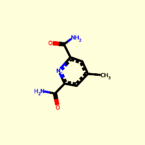 Cc1cc(C(N)=O)nc(C(N)=O)c1